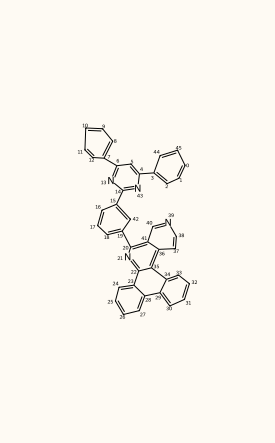 c1ccc(-c2cc(-c3ccccc3)nc(-c3cccc(-c4nc5c6ccccc6c6ccccc6c5c5ccncc45)c3)n2)cc1